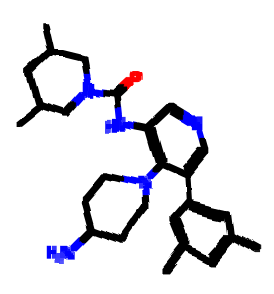 Cc1cc(C)cc(-c2cncc(NC(=O)N3CC(C)CC(C)C3)c2N2CCC(N)CC2)c1